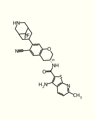 Cc1ccc2c(N)c(C(=O)N[C@H]3COc4cc(C5CC6CNCC(C5)C6(F)F)c(C#N)cc4C3)sc2n1